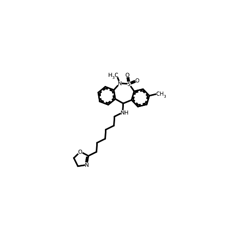 Cc1ccc2c(c1)S(=O)(=O)N(C)c1ccccc1C2NCCCCCCC1=NCCO1